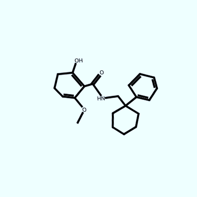 COC1=CCCC(O)=C1C(=O)NCC1(c2ccccc2)CCCCC1